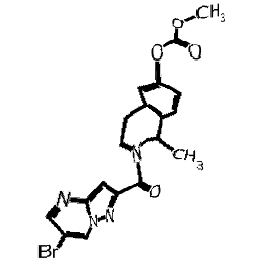 COC(=O)Oc1ccc2c(c1)CCN(C(=O)c1cc3ncc(Br)cn3n1)C2C